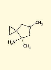 CN1CC2(CC2)[C@](C)(N)C1